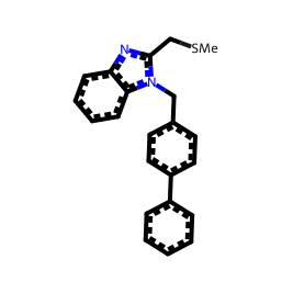 CSCc1nc2ccccc2n1Cc1ccc(-c2ccccc2)cc1